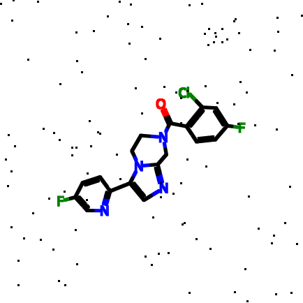 O=C(c1ccc(F)cc1Cl)N1CCn2c(-c3ccc(F)cn3)cnc2C1